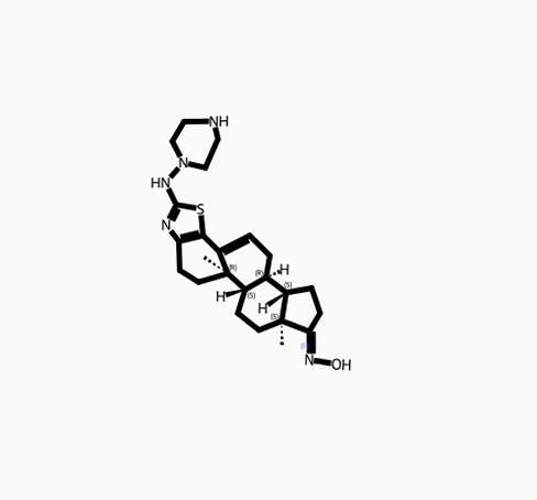 C[C@]12CCc3nc(NN4CCNCC4)sc3C1=CC[C@@H]1[C@@H]2CC[C@]2(C)/C(=N/O)CC[C@@H]12